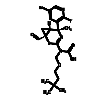 C[C@]1(c2cc(Br)cnc2F)N=C(N(COCC[Si](C)(C)C)C(=O)O)S[C@@]2(C=O)C[C@H]21